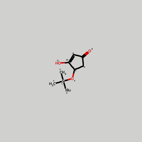 CC(C)(C)[Si](C)(C)OC1CC(=O)C=C1O